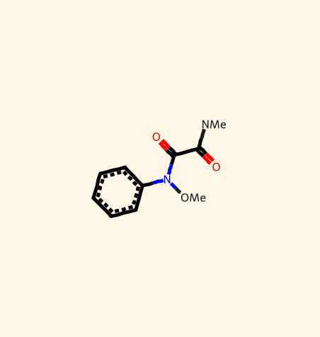 CNC(=O)C(=O)N(OC)c1ccccc1